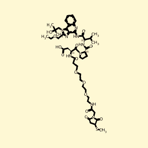 CCOCc1nc2c(NC(=O)[C@@H](NC(=O)[C@@H]3CCCN3C(=O)[C@H](CC(=O)O)NC(=O)CCOCCOCCOCCNC(=O)CN3C(=O)CC(SC)C3=O)C(C)C)nc3ccccc3c2n1CC(C)(C)O